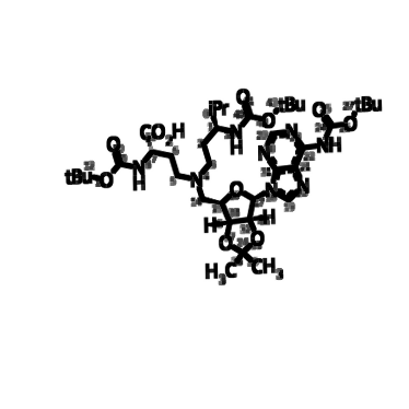 CC(C)[C@H](CCN(CC[C@H](NC(=O)OC(C)(C)C)C(=O)O)C[C@H]1O[C@@H](n2cnc3c(NC(=O)OC(C)(C)C)ncnc32)[C@@H]2OC(C)(C)O[C@@H]21)NC(=O)OC(C)(C)C